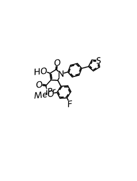 COc1cc(F)ccc1C1C(C(=O)C(C)C)=C(O)C(=O)N1c1ccc(-c2ccsc2)cc1